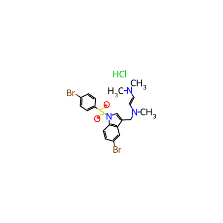 CN(C)C=CN(C)Cc1cn(S(=O)(=O)c2ccc(Br)cc2)c2ccc(Br)cc12.Cl